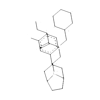 O=C(O)CCC(=O)N(CCN1C2CCC1CC(c1cccc(O)c1)C2)CC1CCCCC1